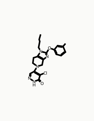 CCCCn1c(Oc2cccc(C)c2)nc2c1CCN(c1cn[nH]c(=O)c1Cl)C2